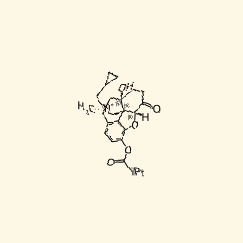 CC(C)C(=O)Oc1ccc2c3c1O[C@H]1C(=O)CC[C@@]4(O)C(C2)[N@+](C)(CC2CC2)CC[C@]314